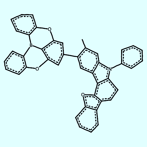 Cc1cc2c(cc1-c1cc3c4c(c1)Oc1ccccc1B4c1ccccc1O3)c1c3oc4ccccc4c3ccc1n2-c1ccccc1